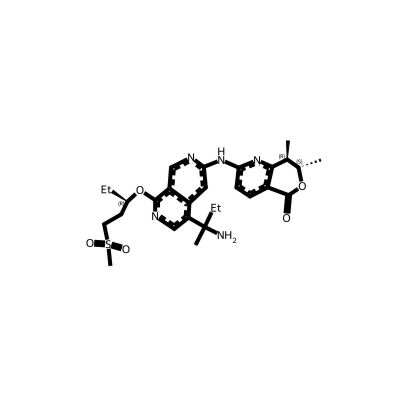 CC[C@H](CCS(C)(=O)=O)Oc1ncc(C(C)(N)CC)c2cc(Nc3ccc4c(n3)[C@@H](C)[C@H](C)OC4=O)ncc12